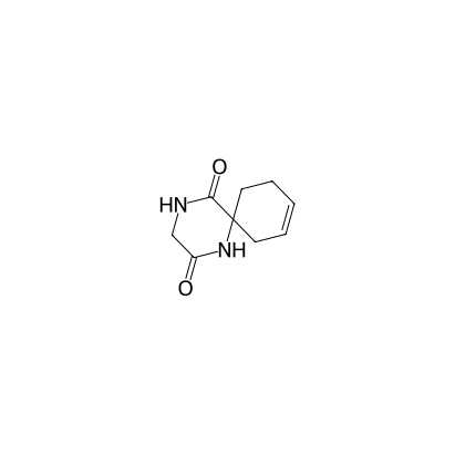 O=C1CNC(=O)C2(CC=CCC2)N1